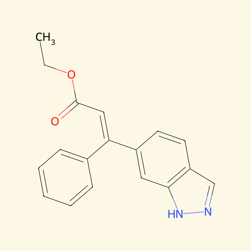 CCOC(=O)C=C(c1ccccc1)c1ccc2cn[nH]c2c1